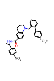 CC(NC(=O)c1ccc2c(c1)CCCN2Cc1ccccc1-c1ccc(C(=O)O)cc1)c1ccc([N+](=O)[O-])cc1